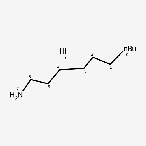 CCCCCCCCCCN.I